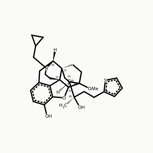 COC12CC[C@@]3(C[C@@H]1[C@](C)(O)CCc1cccs1)[C@H]1Cc4ccc(O)c5c4[C@@]3(CCN1CC1CC1)[C@]2(C)O5